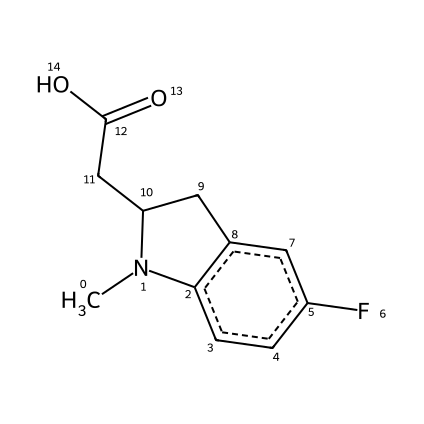 CN1c2ccc(F)cc2CC1CC(=O)O